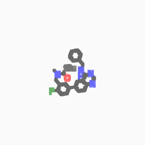 CN(Cc1cc(-c2ccc3ncnc(NCc4ccccc4)c3c2)ccc1F)C(=O)C(C)(C)C